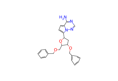 Nc1ncnn2c(C3CC(OCc4ccccc4)C(COCc4ccccc4)O3)ccc12